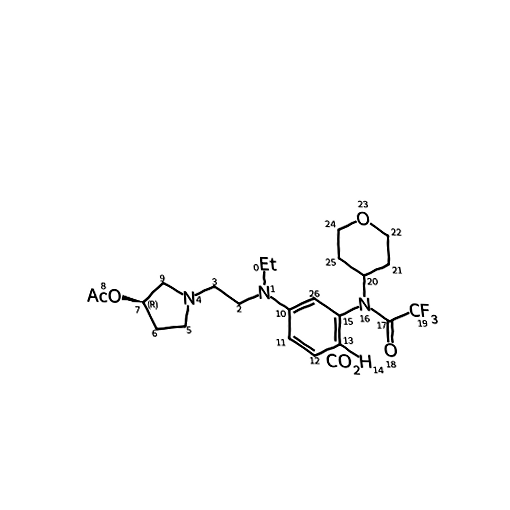 CCN(CCN1CC[C@@H](OC(C)=O)C1)c1ccc(C(=O)O)c(N(C(=O)C(F)(F)F)C2CCOCC2)c1